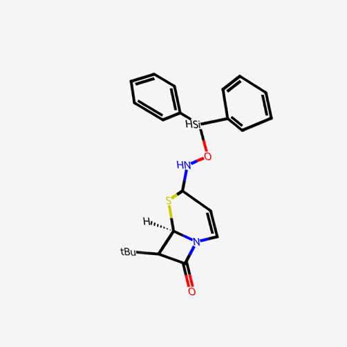 CC(C)(C)C1C(=O)N2C=CC(NO[SiH](c3ccccc3)c3ccccc3)S[C@H]12